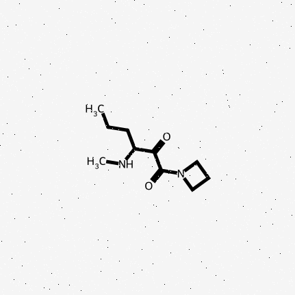 CCCC(NC)C(=O)C(=O)N1CCC1